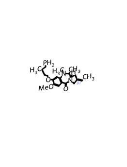 C/C=C1\C[C@H]2C(C)N(C)c3cc(OCCC(C)CP)c(OC)cc3C(=O)N2C1